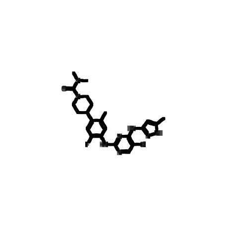 Cc1cc(Nc2nc(Nc3cc(C)c(C4CCN(C(=O)N(C)C)CC4)cc3F)ncc2Cl)n[nH]1